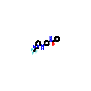 O=C(Nc1ccc(Nc2cccc3nc(C(F)(F)F)cn23)cc1)c1ccccc1